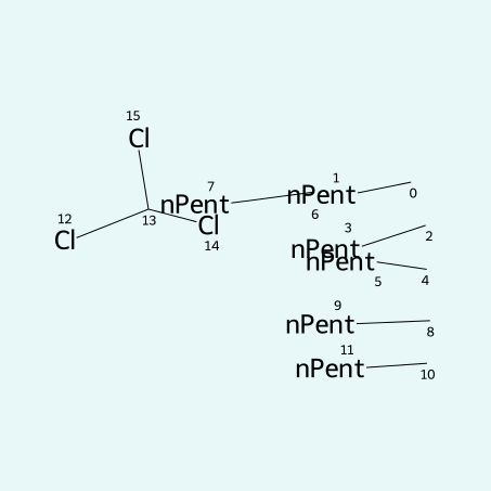 CCCCCC.CCCCCC.CCCCCC.CCCCCC.CCCCCC.CCCCCC.ClC(Cl)Cl